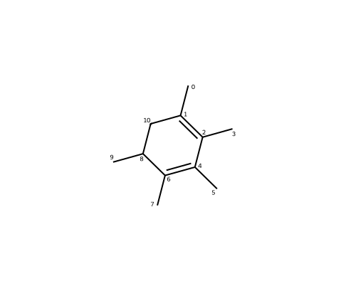 CC1=C(C)C(C)=C(C)C(C)C1